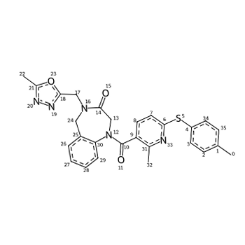 Cc1ccc(Sc2ccc(C(=O)N3CC(=O)N(Cc4nnc(C)o4)Cc4ccccc43)c(C)n2)cc1